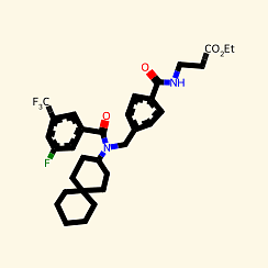 CCOC(=O)CCNC(=O)c1ccc(CN(C(=O)c2cc(F)cc(C(F)(F)F)c2)C2CCC3(CCCCC3)CC2)cc1